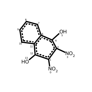 O=[N+]([O-])c1c([N+](=O)[O-])c(O)c2ccccc2c1O